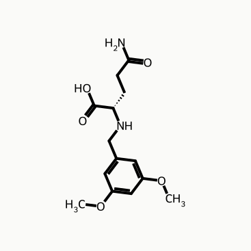 COc1cc(CN[C@@H](CCC(N)=O)C(=O)O)cc(OC)c1